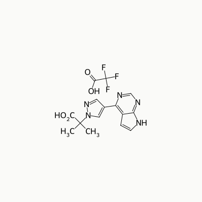 CC(C)(C(=O)O)n1cc(-c2ncnc3[nH]ccc23)cn1.O=C(O)C(F)(F)F